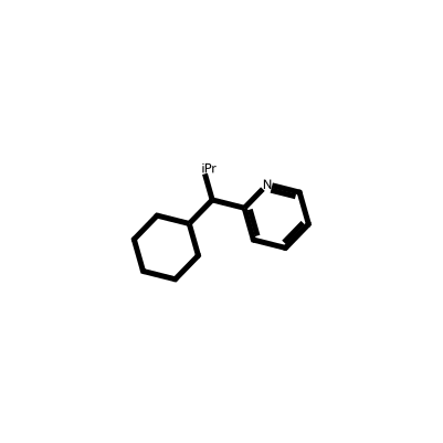 CC(C)C(c1ccccn1)C1CCCCC1